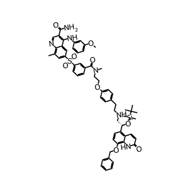 COc1cccc(Nc2c(C(N)=O)cnc3c(C)cc(S(=O)(=O)c4cccc(C(=O)N(C)CCOc5ccc(CCNC[C@H](O[Si](C)(C)C(C)(C)C)c6ccc(OCc7ccccc7)c7[nH]c(=O)ccc67)cc5)c4)cc23)c1